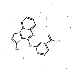 CC(=O)c1cccc(Nc2nc3ccccc3c3onc(N)c23)c1